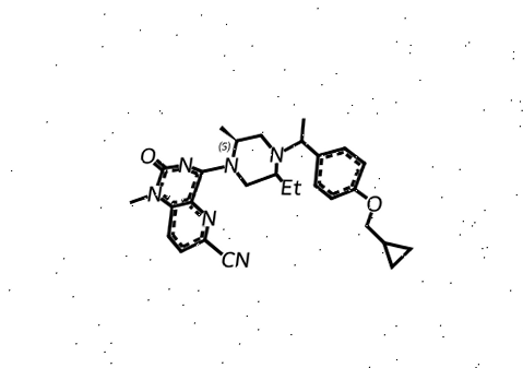 CCC1CN(c2nc(=O)n(C)c3ccc(C#N)nc23)[C@@H](C)CN1C(C)c1ccc(OCC2CC2)cc1